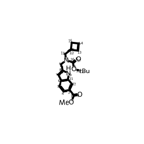 COC(=O)c1ccc2cc(CN(CC3CCC3)C(=O)OC(C)(C)C)[nH]c2c1